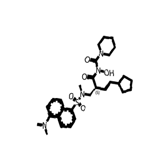 CN(C)c1cccc2c(S(=O)(=O)N(C)C[C@H](CCC3CCCC3)C(=O)N(O)C(=O)N3CCCCC3)cccc12